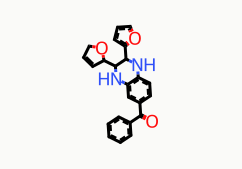 O=C(c1ccccc1)c1ccc2c(c1)NC(C1C=CCO1)C(c1ccco1)N2